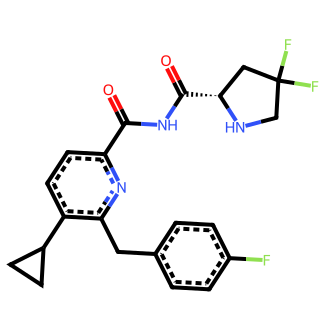 O=C(NC(=O)[C@@H]1CC(F)(F)CN1)c1ccc(C2CC2)c(Cc2ccc(F)cc2)n1